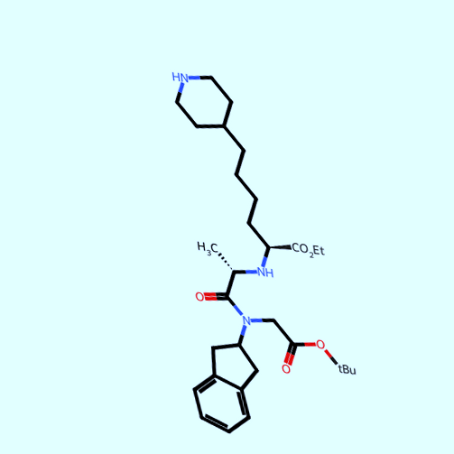 CCOC(=O)[C@H](CCCCC1CCNCC1)N[C@@H](C)C(=O)N(CC(=O)OC(C)(C)C)C1Cc2ccccc2C1